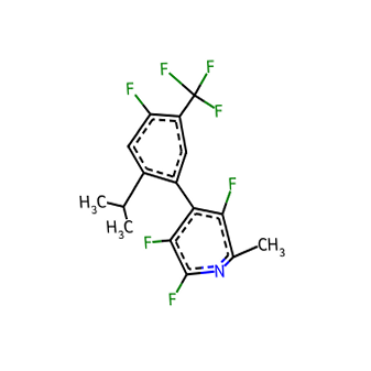 Cc1nc(F)c(F)c(-c2cc(C(F)(F)F)c(F)cc2C(C)C)c1F